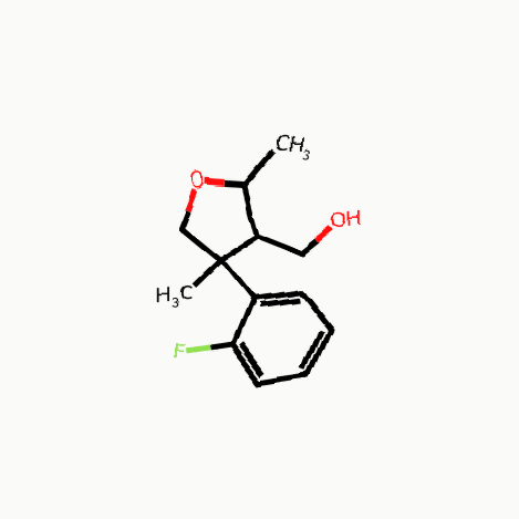 CC1OCC(C)(c2ccccc2F)C1CO